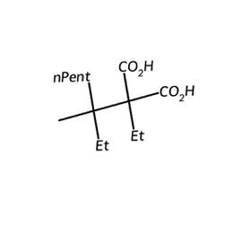 CCCCCC(C)(CC)C(CC)(C(=O)O)C(=O)O